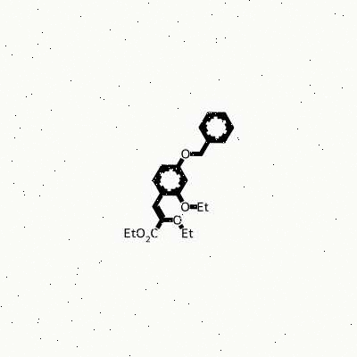 CCOC(=O)/C(=C/c1ccc(OCc2ccccc2)cc1OCC)OCC